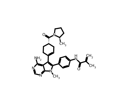 C=C(C)C(=O)Nc1ccc(-c2c(C3=CC[C@@H](C(=O)N4CCC[C@H]4C)CC3)c3c(N)ncnc3n2C)cc1